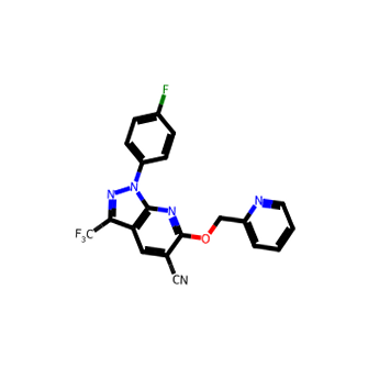 N#Cc1cc2c(C(F)(F)F)nn(-c3ccc(F)cc3)c2nc1OCc1ccccn1